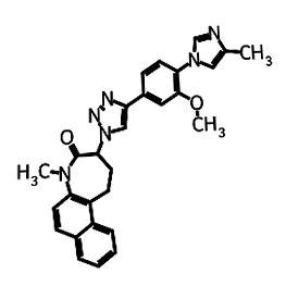 COc1cc(-c2cn(C3CCc4c(ccc5ccccc45)N(C)C3=O)nn2)ccc1-n1cnc(C)c1